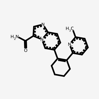 Cc1cccc(C2=C(c3ccc4ncc(C(N)=O)n4c3)CCCC2)n1